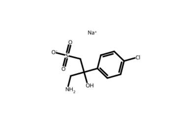 NCC(O)(CS(=O)(=O)[O-])c1ccc(Cl)cc1.[Na+]